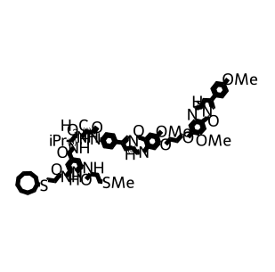 COc1ccc(C2=CN3C(=O)c4cc(OC)c(OCCCOc5cc6c(cc5OC)C(=O)N5C=C(c7ccc(NC(=O)[C@H](C)NC(=O)[C@@H](NC(=O)c8cc(NC(=O)CCSC9CCCCCCCC9)nc(NC(O)CCSC)c8)C(C)C)cc7)C[C@H]5C=N6)cc4N=C[C@@H]3C2)cc1